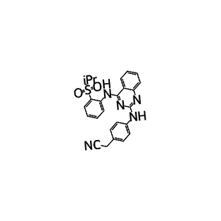 CC(C)S(=O)(=O)c1ccccc1Nc1nc(Nc2ccc(CC#N)cc2)nc2ccccc12